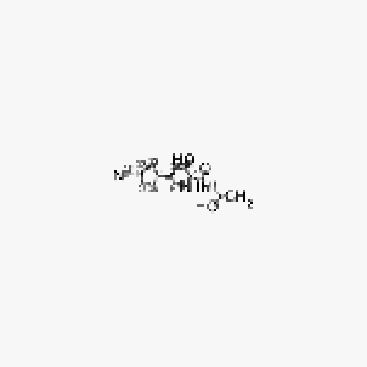 C=C(O)CNC(=O)c1ncc(-c2ccc(C#N)cc2)cc1O